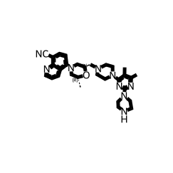 Cc1nc(N2CCNCC2)nc(N2CCN(C[C@H]3CN(c4ccc(C#N)c5ncccc45)C[C@@H](C)O3)CC2)c1C